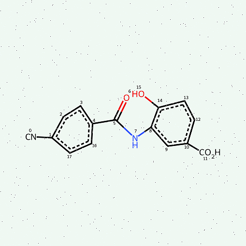 [C-]#[N+]c1ccc(C(=O)Nc2cc(C(=O)O)ccc2O)cc1